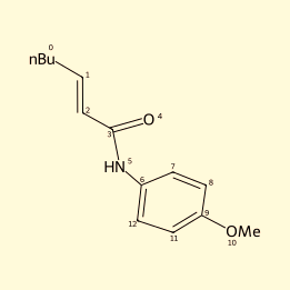 CCCCC=CC(=O)Nc1ccc(OC)cc1